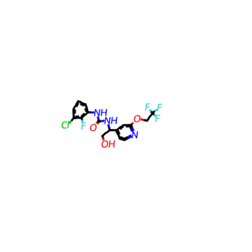 O=C(Nc1cccc(Cl)c1F)NC(CO)c1ccnc(OCC(F)(F)F)c1